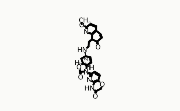 COc1ccc2c(n1)C(CCN[C@H]1CC[C@H]3[C@H](C1)OC(=O)N3c1ccc3c(n1)NC(=O)CO3)C(=O)C=C2